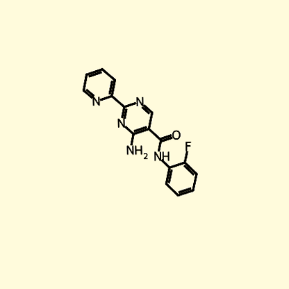 Nc1nc(-c2ccccn2)ncc1C(=O)Nc1ccccc1F